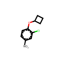 O=[N+]([O-])c1ccc(OC2CCC2)c(Cl)c1